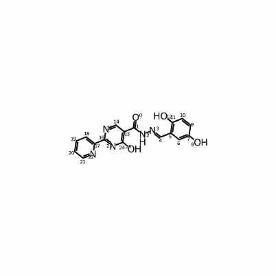 O=C(NN=Cc1cc(O)ccc1O)c1cnc(-c2ccccn2)nc1O